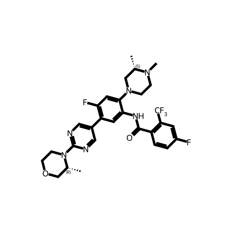 C[C@@H]1COCCN1c1ncc(-c2cc(NC(=O)c3ccc(F)cc3C(F)(F)F)c(N3CCN(C)[C@@H](C)C3)cc2F)cn1